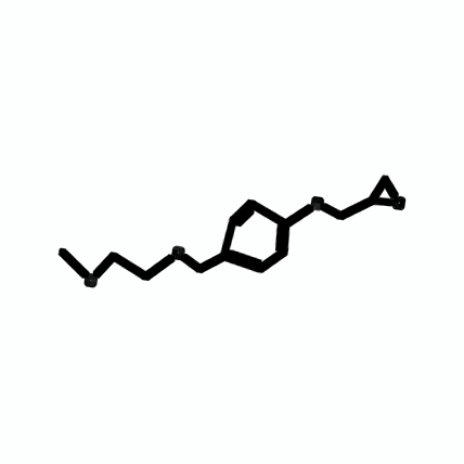 COCCOCc1ccc(OCC2CO2)cc1